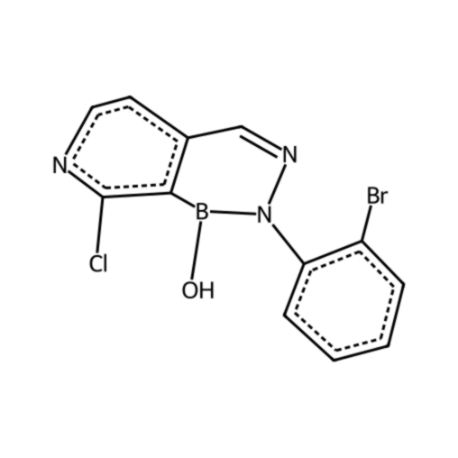 OB1c2c(ccnc2Cl)C=NN1c1ccccc1Br